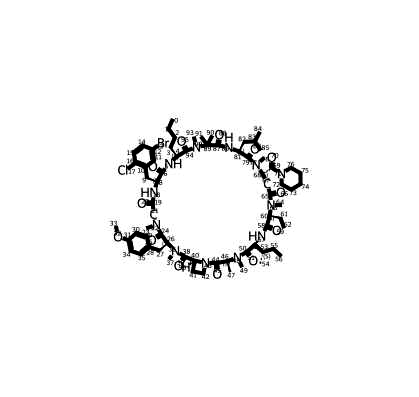 CCCC[C@@H]1NC(=O)[C@H](Cc2cc(Br)ccc2Cl)NC(=O)CN(C)C(=O)[C@H](Cc2ccc(OC)cc2)N(C)C(=O)[C@@H]2CCN2C(=O)[C@H](C)N(C)C(=O)[C@H]([C@@H](C)CC)NC(=O)[C@H](CC)N(C)C(=O)C[C@@H](C(=O)N2CCCCC2)N(C)C(=O)[C@H](CC(C)C)NC(=O)C(C)(C)N(C)C1=O